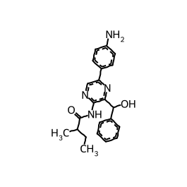 CCC(C)C(=O)Nc1ncc(-c2ccc(N)cc2)nc1C(O)c1ccccc1